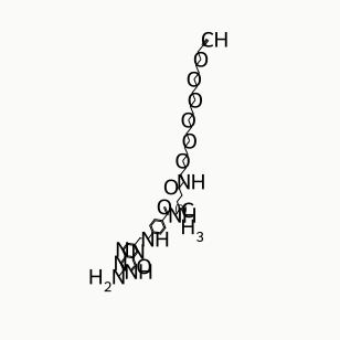 C#CCOCCOCCOCCOCCOCCOCCNC(=O)CC[C@@H](C)NC(=O)c1ccc(NCc2cnc3nc(N)[nH]c(=O)c3n2)cc1